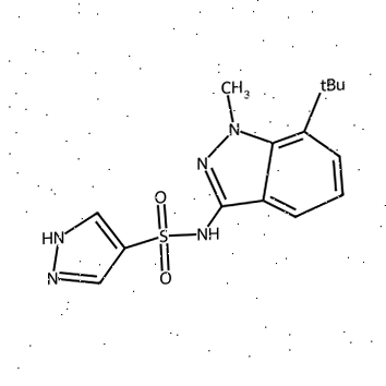 Cn1nc(NS(=O)(=O)c2cn[nH]c2)c2cccc(C(C)(C)C)c21